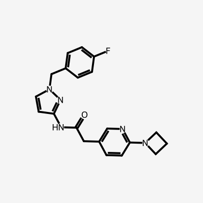 O=C(Cc1ccc(N2CCC2)nc1)Nc1ccn(Cc2ccc(F)cc2)n1